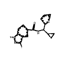 O=C(NC(c1cccs1)C1CC1)c1ccc2[nH]nc(I)c2c1